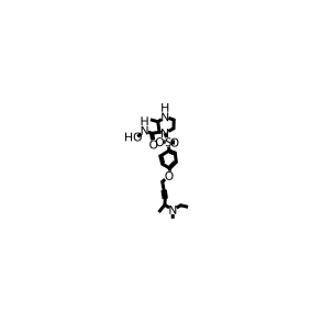 CCN(C)C(C)C#CCOc1ccc(S(=O)(=O)N2CCNC(C)C2C(=O)NO)cc1